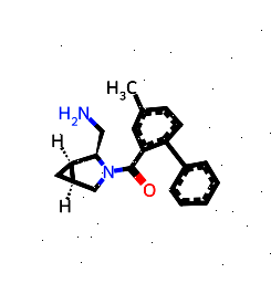 Cc1ccc(-c2ccccc2)c(C(=O)N2C[C@H]3C[C@H]3[C@H]2CN)c1